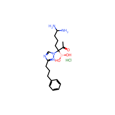 CC(=O)C(CCCC(N)N)(B(O)O)n1cnc(CCCc2ccccc2)n1.Cl